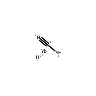 N#CS.[H+].[Yb]